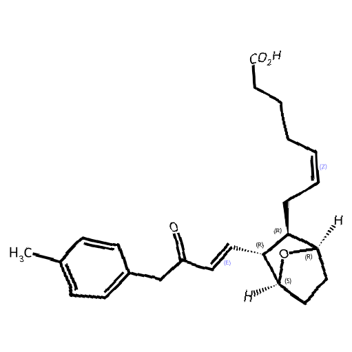 Cc1ccc(CC(=O)/C=C/[C@@H]2[C@@H](C/C=C\CCCC(=O)O)[C@H]3CC[C@@H]2O3)cc1